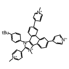 C[n+]1ccc(-c2ccc3c(c2)c2cc(-c4cc[n+](C)cc4)ccc2c2c3n(-c3ccc(C(C)(C)C)cc3)c(-c3cc[n+](C)cc3)[n+]2C)cc1